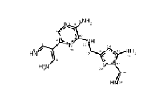 N=C/C(=C\N)c1cnc(N)c(NCc2cc(N)c(C=N)s2)n1